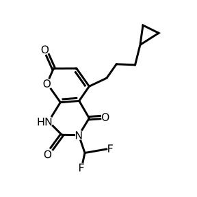 O=c1cc(CCCC2CC2)c2c(=O)n(C(F)F)c(=O)[nH]c2o1